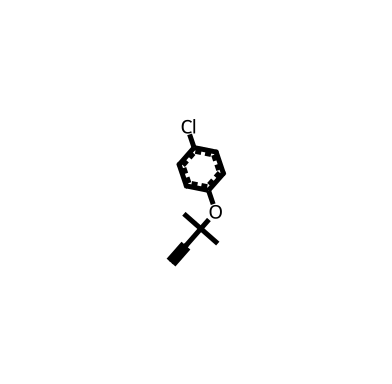 C#CC(C)(C)Oc1ccc(Cl)cc1